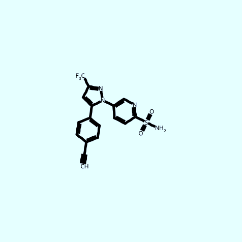 C#Cc1ccc(-c2cc(C(F)(F)F)nn2-c2ccc(S(N)(=O)=O)nc2)cc1